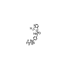 Cc1ncccc1COC(=O)NCc1ccc(-c2noc(C(F)(F)F)n2)cc1